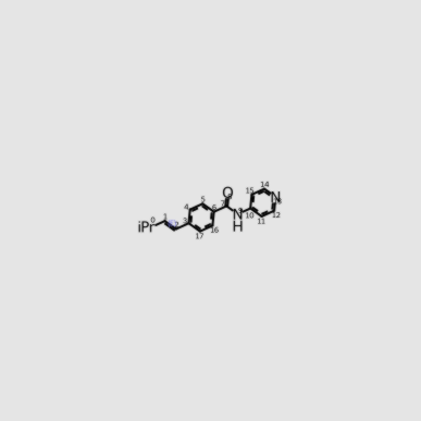 CC(C)/C=C/c1ccc(C(=O)Nc2ccncc2)cc1